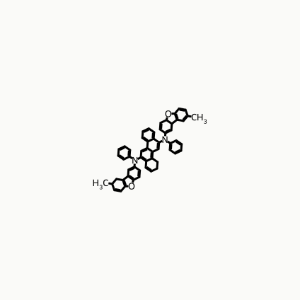 Cc1ccc2c(c1)C1C=C(N(c3ccccc3)c3cc4c5c(c(N(c6ccccc6)c6ccc7oc8c(c7c6)CC(C)C=C8)cc4c4ccccc34)C=CCC5)C=CC1O2